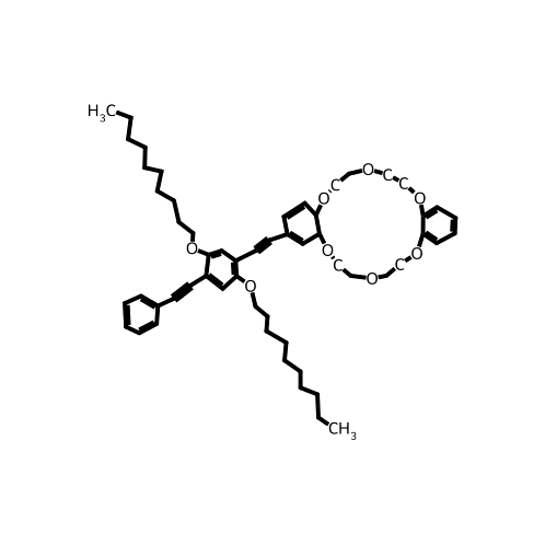 CCCCCCCCCCOc1cc(C#Cc2ccccc2)c(OCCCCCCCCCC)cc1C#CC1=CC2OCCOCCOc3ccccc3OCCOCCOC2C=C1